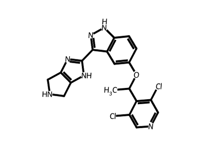 CC(Oc1ccc2[nH]nc(-c3nc4c([nH]3)CNC4)c2c1)c1c(Cl)cncc1Cl